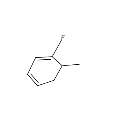 CC1CC=CC=C1F